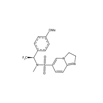 COc1ccc([C@@H](N(C)S(=O)(=O)C2=CN3CCN=C3C=C2)C(F)(F)F)cc1